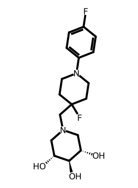 O[C@H]1[C@H](O)CN(CC2(F)CCN(c3ccc(F)cc3)CC2)C[C@@H]1O